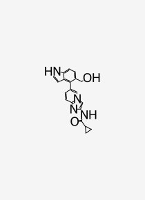 O=C(Nc1cn2cc(-c3c(CO)ccc4[nH]ccc34)ccc2n1)C1CC1